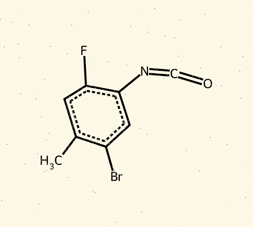 Cc1cc(F)c(N=C=O)cc1Br